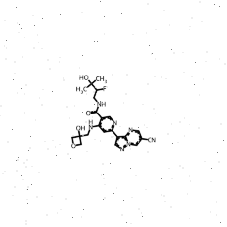 CC(C)(O)C(F)CNC(=O)c1cnc(-c2cnn3cc(C#N)cnc23)cc1NCC1(O)COC1